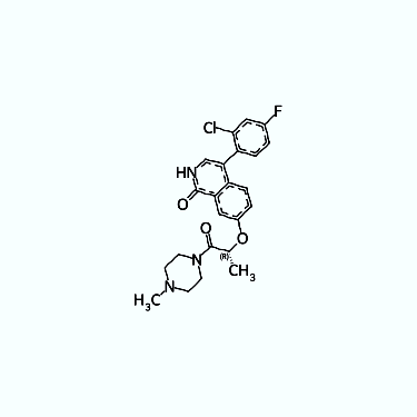 C[C@@H](Oc1ccc2c(-c3ccc(F)cc3Cl)c[nH]c(=O)c2c1)C(=O)N1CCN(C)CC1